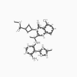 COC(=O)C1CC(n2c(C(C)Nc3ncnc(N)c3-c3nc(C)no3)nc3cccc(Cl)c3c2=O)C1